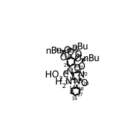 CCCCC(=O)Oc1cc(N(C(=O)O)c2c(N)n(-c3ccccc3)c(=O)n(C)c2=O)cc(OC(=O)CCCC)c1OC(=O)CCCC